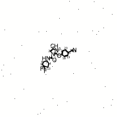 Cc1cn(C(=O)NC2CCC(F)(F)CC2)c(Oc2ccc(C#N)cc2)n1